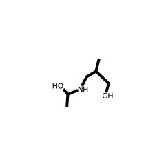 CC(CO)CNC(C)O